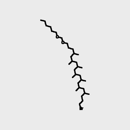 CCCCCCOCOCCCC(C)CC(C)CC(C)CC(C)CC(C)CC(C)CC(C)CCCBr